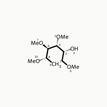 COC[C@@H](O)[C@@H](OC)[C@H](OC)[C@H](C)OC